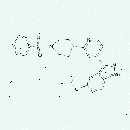 CC(C)Oc1cc2c(-c3ccnc(N4CCN(S(=O)(=O)c5ccccc5)CC4)c3)n[nH]c2cn1